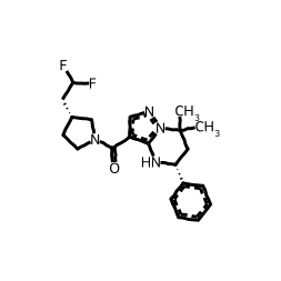 CC1(C)C[C@H](c2ccccc2)Nc2c(C(=O)N3CC[C@H](CC(F)F)C3)cnn21